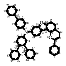 C1=C(c2ccccc2)Oc2c(ccc3oc4cc(N(c5ccc(-c6ccccc6)cc5)c5ccc(-c6ccccc6)c(-c6ccccc6)c5)ccc4c23)C1